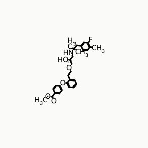 COC(=O)c1ccc(Oc2ccccc2CCOC[C@H](O)CNC(C)(C)Cc2ccc(C)c(F)c2)cc1